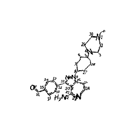 CN1CCN(C2CCC(n3nc(-c4ccc(C=O)cc4)c4c(N)nccc43)CC2)CC1